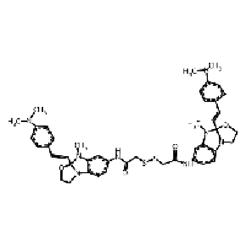 CN(C)c1ccc(/C=C/C23OCCN2c2ccc(NC(=O)CSSCC(=O)Nc4ccc5c(c4)N(C)C4(/C=C/c6ccc(N(C)C)cc6)OCCN54)cc2N3C)cc1